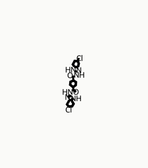 O=C(Nc1nc2cc(Cl)ccc2[nH]1)c1ccc(C(=O)Nc2nc3cc(Cl)ccc3[nH]2)cc1